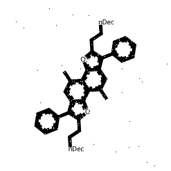 CCCCCCCCCCCCc1oc2c(cc(C)c3c4oc(CCCCCCCCCCCC)c(-c5ccccc5)c4cc(C)c23)c1-c1ccccc1